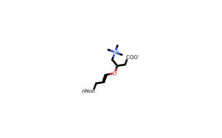 CCCCCCCCCCC=COC(CC(=O)[O-])C[N+](C)(C)C